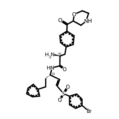 N[C@@H](Cc1ccc(C(=O)C2CNCCO2)cc1)C(=O)N[C@H](C=CS(=O)(=O)c1ccc(Br)cc1)CCc1ccccc1